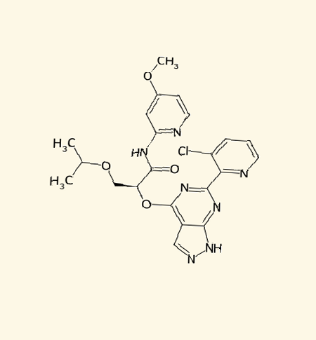 COc1ccnc(NC(=O)[C@H](COC(C)C)Oc2nc(-c3ncccc3Cl)nc3[nH]ncc23)c1